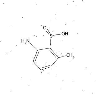 Cc1cccc(N)c1S(=O)O